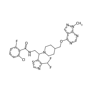 Cn1ncc2c(OCC3CCN(C(CNC(=O)c4c(F)cccc4Cl)c4scnc4C(F)F)CC3)ncnc21